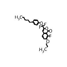 CCCCCc1ccc(OC(F)(F)c2cc3ccc(OCCC)c(F)c3c(=O)o2)cc1